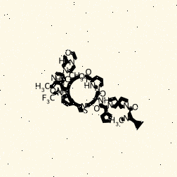 CO[C@@H](C)c1ncc(N2CCN3CCOC[C@@H]3C2)cc1-c1c2c3cc(ccc3n1CC(F)(F)F)-c1csc(n1)C[C@H](NC(=O)C(C1CCCC1)N1CC[C@]3(CCN(C(=O)[C@H]4C(C5CC5)N4C)C3)C1)C(=O)N1CCC[C@H](N1)C(=O)OCC(C)(C)C2